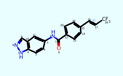 O=C(Nc1ccc2[nH]ncc2c1)c1ccc(/C=C/C(F)(F)F)cc1